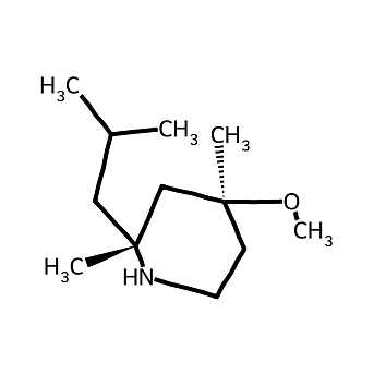 CO[C@@]1(C)CCN[C@](C)(CC(C)C)C1